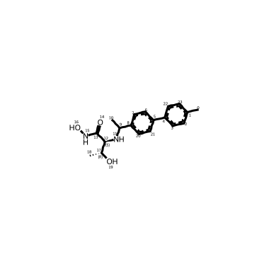 Cc1ccc(-c2ccc(C(C)N[C@H](C(=O)NO)[C@@H](C)O)cc2)cc1